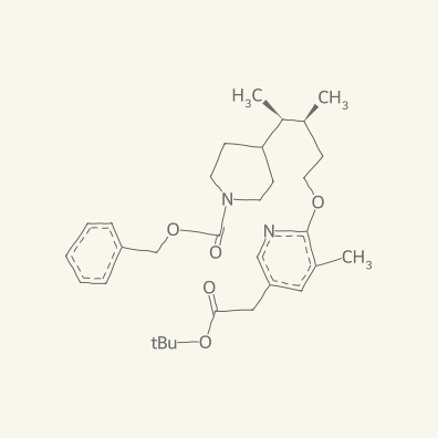 Cc1cc(CC(=O)OC(C)(C)C)cnc1OCC[C@H](C)[C@H](C)C1CCN(C(=O)OCc2ccccc2)CC1